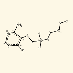 CS(C)(CCOCCl)CCc1c(Br)ccnc1N